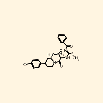 CS/C(=N\C(=O)c1ccccc1)NC(C(=O)N1CCC(c2ccc(Cl)cc2)CC1)C(C)C